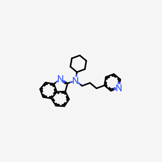 c1cncc(CCCN(C2=Nc3cccc4cccc2c34)C2CCCCC2)c1